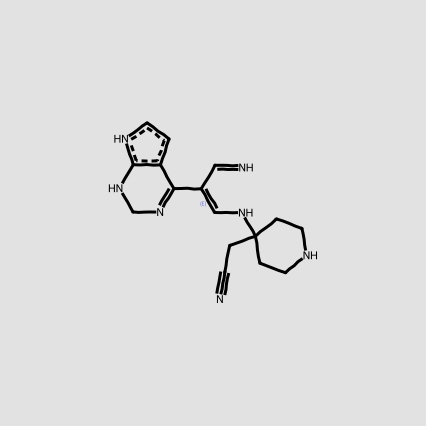 N#CCC1(N/C=C(\C=N)C2=NCNc3[nH]ccc32)CCNCC1